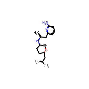 C=C(C)CC1CCC(NC(=C)Cc2cccc(N)n2)BO1